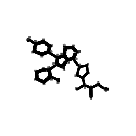 CN(C(=O)OC(C)(C)C)C1CCN(c2ncnc3c(-c4ccc(Cl)cc4)n(-c4ccccc4Cl)nc23)C1